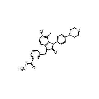 COC(=O)c1cccc(Cn2c(=O)n(-c3ccc(N4CCOCC4)cc3)c3c(F)c(Cl)ccc32)c1